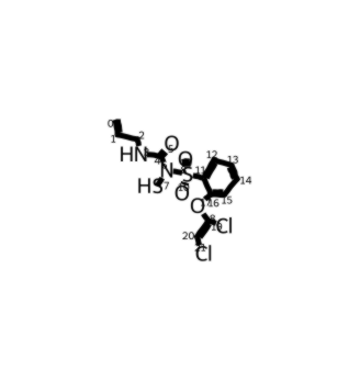 C=CCNC(=O)N(S)S(=O)(=O)c1ccccc1OC(Cl)=CCl